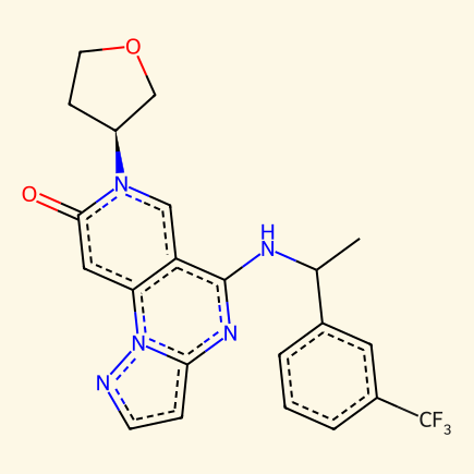 CC(Nc1nc2ccnn2c2cc(=O)n([C@H]3CCOC3)cc12)c1cccc(C(F)(F)F)c1